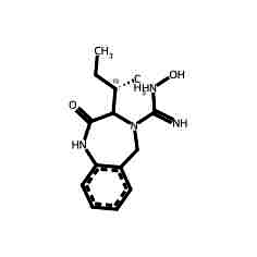 CC[C@H](C)C1C(=O)Nc2ccccc2CN1C(=N)NO